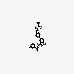 Cc1cccc([C@H](C)NC(=O)c2n[nH]c3ccc(-c4ccc5nc(NC(=O)C6CC6)sc5c4)cc23)c1